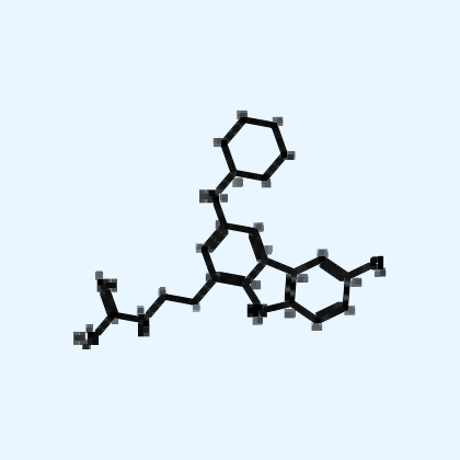 N=C(N)NCCc1cc(NC2CCCCC2)cc2c1[nH]c1ccc(Cl)cc12